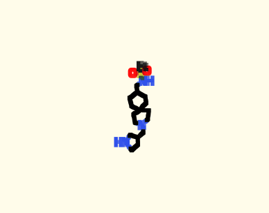 CCS(=O)(=O)NCC1CCC2(CC1)CCN(C[C@H]1CCNC1)CC2